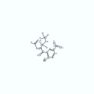 C=C(C)CN(C(=O)c1cc([N+](=O)[O-])ccc1Br)C(C)(C)CC(C)(C)C